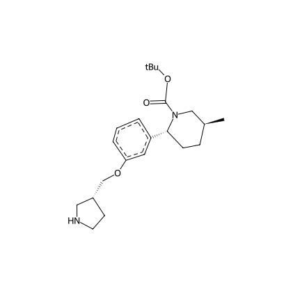 C[C@H]1CC[C@H](c2cccc(OC[C@@H]3CCNC3)c2)N(C(=O)OC(C)(C)C)C1